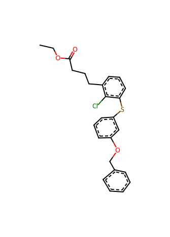 CCOC(=O)CCCc1cccc(Sc2cccc(OCc3ccccc3)c2)c1Cl